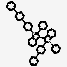 c1ccc(-c2ccc(-c3ccc(-n4c(-c5ccccc5)c(-c5c(-c6ccc(-c7ccccc7)cc6)n(-c6ccccc6)c6ccccc56)c5ccccc54)cc3)cc2)cc1